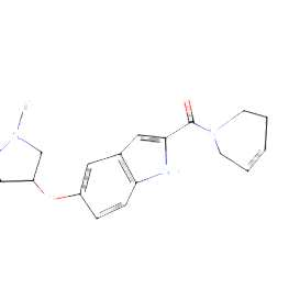 CC(C)N1CCC(Oc2ccc3[nH]c(C(=O)N4CC=CCC4)cc3c2)C1